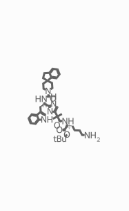 CC(C)(C)OC(=O)[C@@H](CCCCN)NC(=O)C(C)(C)c1c[nH]c([C@@H](Cc2c[nH]c3ccccc23)NC(=O)N2CCC3(CCc4ccccc43)CC2)n1